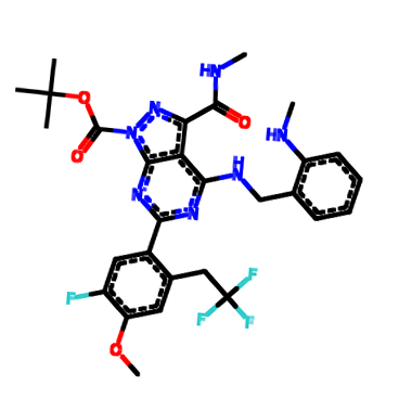 CNC(=O)c1nn(C(=O)OC(C)(C)C)c2nc(-c3cc(F)c(OC)cc3CC(F)(F)F)nc(NCc3ccccc3NC)c12